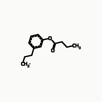 [CH2]CCc1cccc(OC(=O)CCC)c1